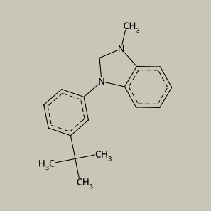 CN1CN(c2cccc(C(C)(C)C)c2)c2ccccc21